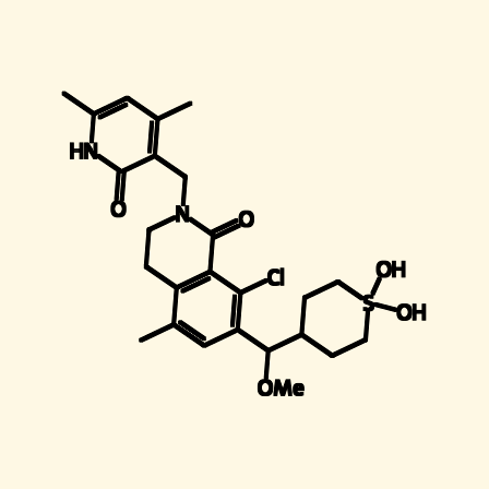 COC(c1cc(C)c2c(c1Cl)C(=O)N(Cc1c(C)cc(C)[nH]c1=O)CC2)C1CCS(O)(O)CC1